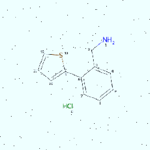 Cl.NCc1ccccc1-c1cccs1